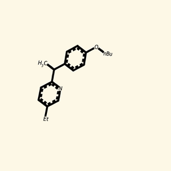 CCCCOc1ccc(C(C)c2ccc(CC)cn2)cc1